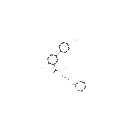 Nc1ccc(-c2ccc(OC(F)(F)F)cc2)cc1C(=O)N(N)CCOc1ncccn1